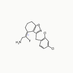 NC/C(F)=C1\CCCc2onc(Cc3ccc(Cl)cc3Cl)c21